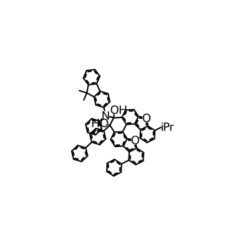 CC(C)c1cccc2c1oc1ccc3c(c12)-c1c(ccc2c1oc1cccc(-c4ccccc4)c12)C(O)(c1ccc(-c2ccccc2)cc1)C3(O)N(c1ccccc1)c1ccc2c(c1)C(C)(C)c1ccccc1-2